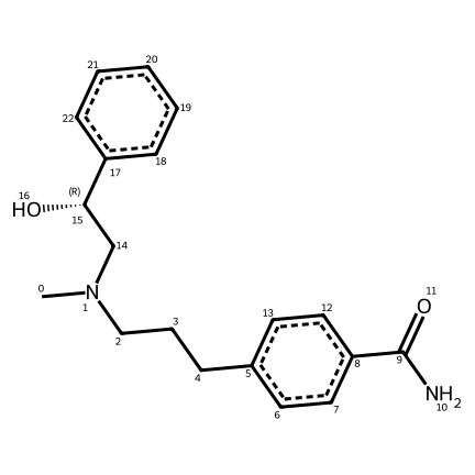 CN(CCCc1ccc(C(N)=O)cc1)C[C@H](O)c1ccccc1